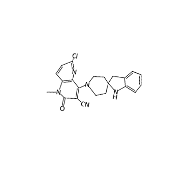 Cn1c(=O)c(C#N)c(N2CCC3(CC2)Cc2ccccc2N3)c2nc(Cl)ccc21